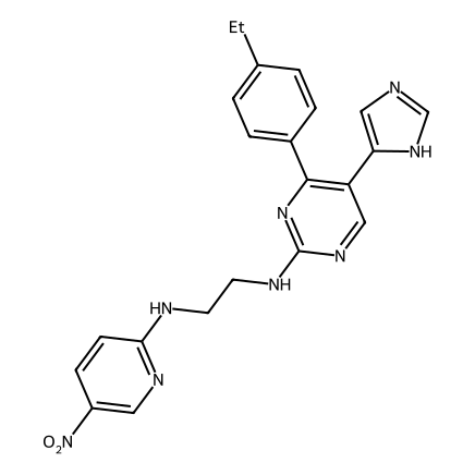 CCc1ccc(-c2nc(NCCNc3ccc([N+](=O)[O-])cn3)ncc2-c2cnc[nH]2)cc1